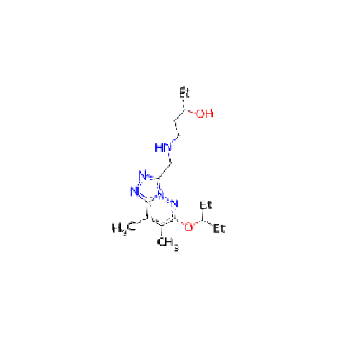 CCC(O)CCNCc1nnc2c(C)c(C)c(OC(CC)CC)nn12